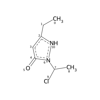 CCc1cc(=O)n(C(C)Cl)[nH]1